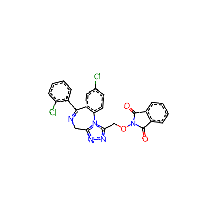 O=C1c2ccccc2C(=O)N1OCc1nnc2n1-c1ccc(Cl)cc1C(c1ccccc1Cl)=NC2